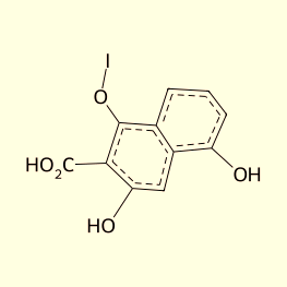 O=C(O)c1c(O)cc2c(O)cccc2c1OI